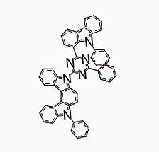 c1ccc(-c2nc(-c3cccc4c5ccccc5n(-c5ccccc5)c34)nc(-n3c4ccccc4c4c5c6ccccc6n(-c6ccccc6)c5ccc43)n2)cc1